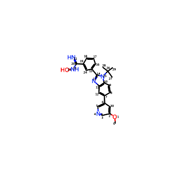 COc1cncc(-c2ccc3c(c2)nc(-c2cccc(C(=N)NO)c2)n3C(C)(C)C)c1